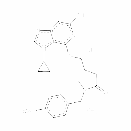 COc1ccc([C@@H](C)N2C[C@H]([C@@H](C)Oc3nc(C)cc4ncn(C5CC5)c34)CC2=O)cc1